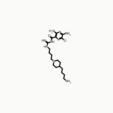 N=C(NCCCCN1CCC(CCCCN)CC1)NC(=O)c1nc(Cl)c(N)nc1N